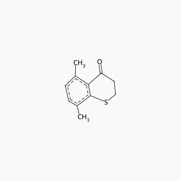 Cc1ccc(C)c2c1SCCC2=O